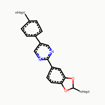 CCCCCCCc1ccc(-c2cnc(-c3ccc4c(c3)OC(CCCCCCC)O4)nc2)cc1